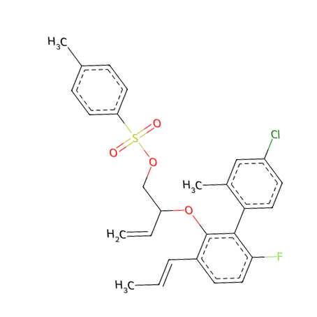 C=CC(COS(=O)(=O)c1ccc(C)cc1)Oc1c(C=CC)ccc(F)c1-c1ccc(Cl)cc1C